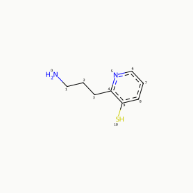 NCCCc1ncccc1S